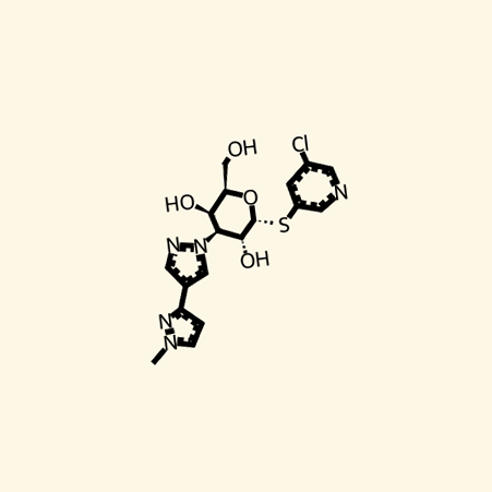 Cn1ccc(-c2cnn([C@@H]3[C@@H](O)[C@@H](Sc4cncc(Cl)c4)O[C@H](CO)[C@@H]3O)c2)n1